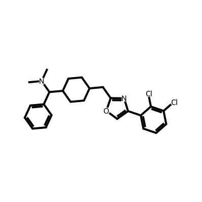 CN(C)C(c1ccccc1)C1CCC(Cc2nc(-c3cccc(Cl)c3Cl)co2)CC1